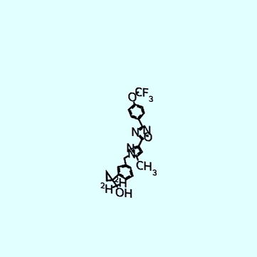 [2H]C([2H])(O)C1(c2cccc(Cn3nc(-c4nc(-c5ccc(OC(F)(F)F)cc5)no4)cc3C)c2)CC1